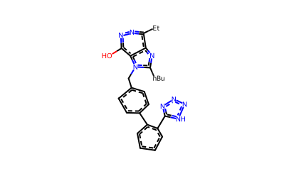 CCCCc1nc2c(CC)nnc(O)c2n1Cc1ccc(-c2ccccc2-c2nnn[nH]2)cc1